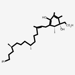 CC(=CCC1=C(O)C(C)=C(C)[C@@](O)(CC(=O)O)[C@@H]1C)CCC[C@H](C)CCC[C@H](C)CCCC(C)C